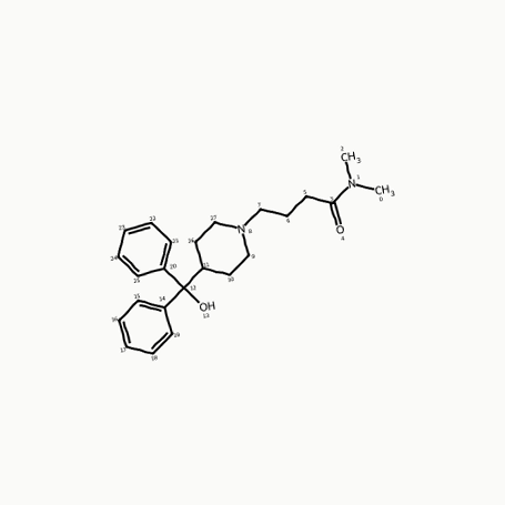 CN(C)C(=O)CCCN1CCC(C(O)(c2ccccc2)c2ccccc2)CC1